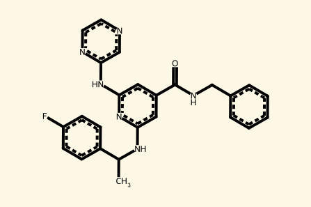 CC(Nc1cc(C(=O)NCc2ccccc2)cc(Nc2cnccn2)n1)c1ccc(F)cc1